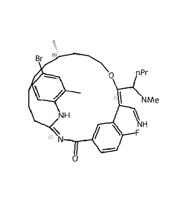 CCCC(NC)/C1=C(\C=N)c2cc(ccc2F)C(=O)/N=C(\Nc2ccc(Br)cc2C)CCCCC[C@H](C)CCCO1